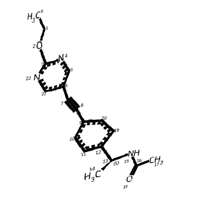 CCOc1ncc(C#Cc2ccc([C@H](C)NC(C)=O)cc2)cn1